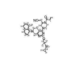 C=CC(=O)N1CCN(c2nc(OCC(C)(C)N(C)C3CC3)nc3c2CCN(c2cccc4cccc(C)c24)C3)CC1CC#N